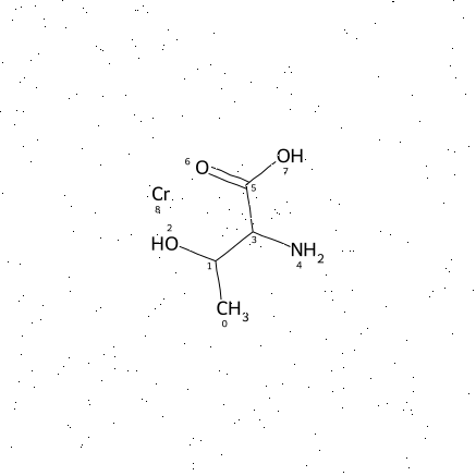 CC(O)C(N)C(=O)O.[Cr]